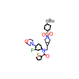 CCCCc1ccc(S(=O)(=O)N2CC3C(CN(C(=O)c4cccs4)c4ccc(N5CCOCC5)c(F)c4)C3C2)cc1